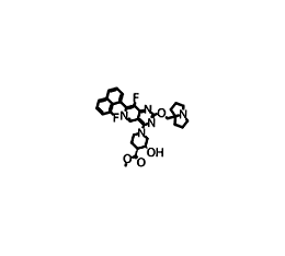 COC(=O)[C@H]1CCN(c2nc(OCC34CCCN3CCC4)nc3c(F)c(-c4cccc5cccc(F)c45)ncc23)C[C@@H]1O